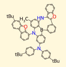 Cc1cc2c3c(c1)N(c1cccc4c1oc1cc(C(C)(C)C)ccc14)c1cc(N(c4ccc(C(C)(C)C)cc4)c4ccc(C(C)(C)C)cc4)ccc1B3c1cccc(c1)-c1oc3ccccc3c1N2